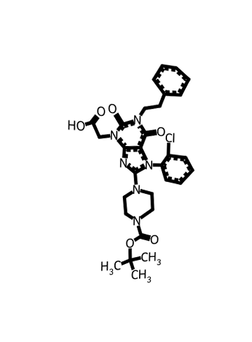 CC(C)(C)OC(=O)N1CCN(c2nc3c(c(=O)n(CCc4ccccc4)c(=O)n3CC(=O)O)n2-c2ccccc2Cl)CC1